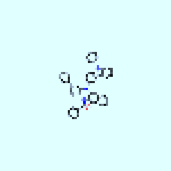 c1ccc(-c2cccc(N(c3ccc4c(c3)c3ccccc3n4-c3ccccc3)c3cc4ccccc4c4oc(-c5ccccc5)nc34)c2)cc1